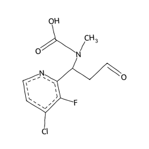 CN(C(=O)O)C(CC=O)c1nccc(Cl)c1F